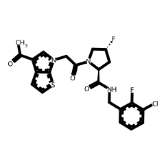 CC(=O)c1cn(CC(=O)N2C[C@H](F)C[C@H]2C(=O)NCc2cccc(Cl)c2F)c2sccc12